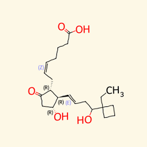 CCC1(C(O)C/C=C/[C@H]2[C@H](O)CC(=O)[C@@H]2C/C=C\CCCC(=O)O)CCC1